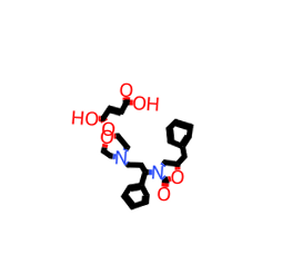 O=C(O)/C=C/C(=O)O.O=C1OC(Cc2ccccc2)CN1C(CCN1CCOCC1)c1ccccc1